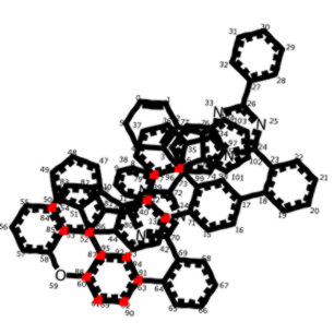 C1=CC2=C(CC1)C1(c3ccccc3Oc3ccc(-c4ccccc4-c4nc(-c5ccccc5)nc(-c5cccc(-c6cccc7c6-c6ccccc6C76c7ccccc7Oc7ccc(-c8ccccc8-c8nc(-c9ccccc9)nc(-c9ccccc9-c9ccccc9)n8)cc76)c5)n4)cc31)c1ccccc12